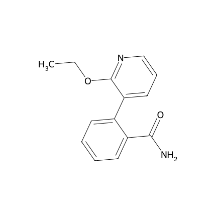 CCOc1ncccc1-c1ccccc1C(N)=O